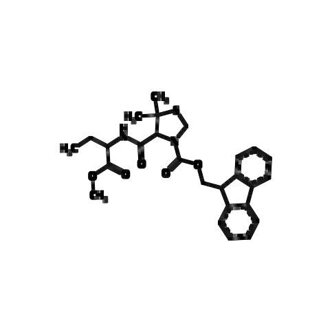 CCC(NC(=O)C1N(C(=O)OCC2c3ccccc3-c3ccccc32)CSC1(C)C)C(=O)OC